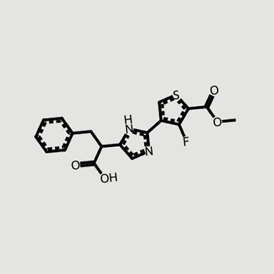 COC(=O)c1scc(-c2ncc(C(Cc3ccccc3)C(=O)O)[nH]2)c1F